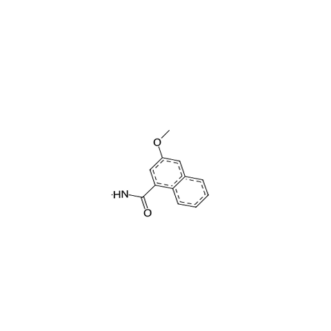 COc1cc(C([NH])=O)c2ccccc2c1